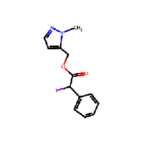 Cn1nccc1COC(=O)C(I)c1ccccc1